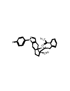 CC(=O)c1ccccc1CC[C@]1(O)CCC2=Cc3c(cnn3-c3ccc(F)cc3)CC21C